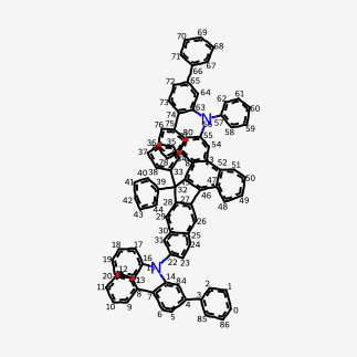 c1ccc(-c2ccc(-c3ccccc3)c(N(c3ccccc3)c3ccc4cc5c(cc4c3)C(c3ccccc3)(c3ccccc3)c3c-5c4ccccc4c4cc(N(c5ccccc5)c5cc(-c6ccccc6)ccc5-c5ccccc5)ccc34)c2)cc1